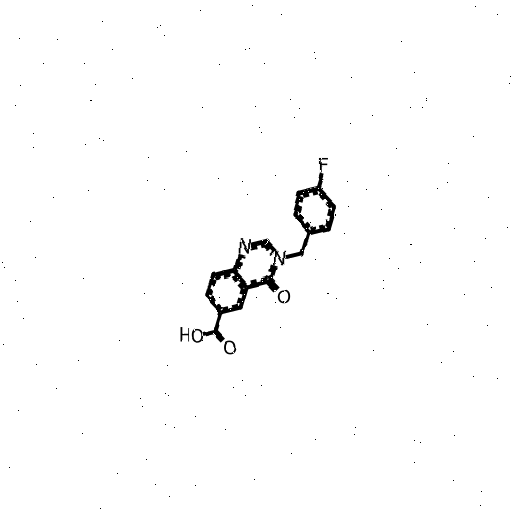 O=C(O)c1ccc2ncn(Cc3ccc(F)cc3)c(=O)c2c1